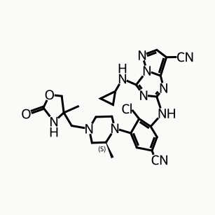 C[C@H]1CN(CC2(C)COC(=O)N2)CCN1c1cc(C#N)cc(Nc2nc(NC3CC3)n3ncc(C#N)c3n2)c1Cl